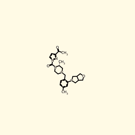 CC(=O)c1ccn(C(=O)N2CCN(Cc3ccc(C)cc3N3CC4COCC4C3)C[C@H]2C)n1